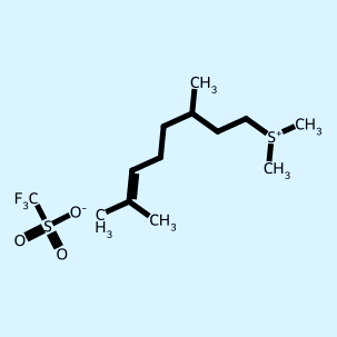 CC(C)=CCCC(C)CC[S+](C)C.O=S(=O)([O-])C(F)(F)F